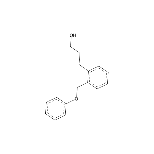 OCCCc1ccccc1COc1ccccc1